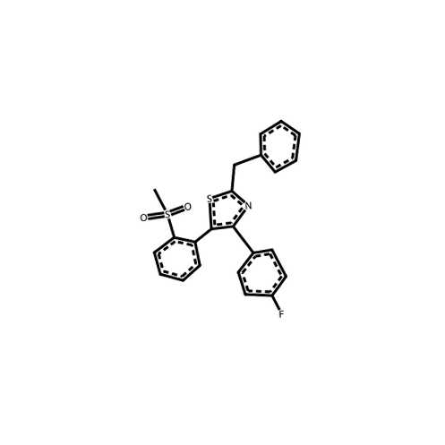 CS(=O)(=O)c1ccccc1-c1sc(Cc2ccccc2)nc1-c1ccc(F)cc1